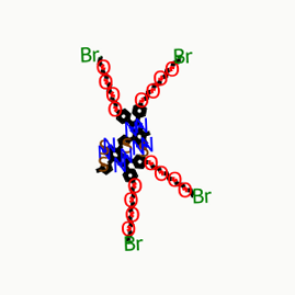 Cc1ccc(-c2c3nsnc3c(-c3ccc(-c4c5nsnc5c(C)c5nc(-c6ccc(OCCOCCOCCOCCBr)cc6)c(-c6ccc(OCCOCCOCCOCCBr)cc6)nc45)s3)c3nc(-c4ccc(OCCOCCOCCOCCBr)cc4)c(-c4ccc(OCCOCCOCCOCCBr)cc4)nc23)s1